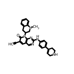 C#Cc1cc2cnc(Nc3ccc(C4=CCNCC4)cc3)nc2n(C2Cc3ccccc3N(C)C2)c1=O